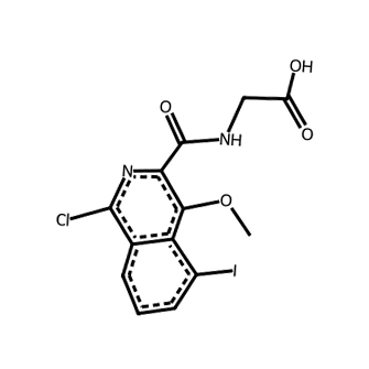 COc1c(C(=O)NCC(=O)O)nc(Cl)c2cccc(I)c12